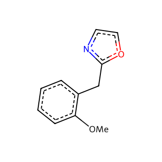 COc1ccccc1Cc1ncco1